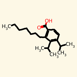 CCCCCCCc1c(C(=O)O)ccc(C(C)C)c1C(C)C